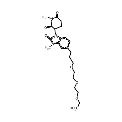 CN1C(=O)CCC(n2c(=O)n(C)c3cc(CCCOCCOCCOCC(=O)O)ccc32)C1=O